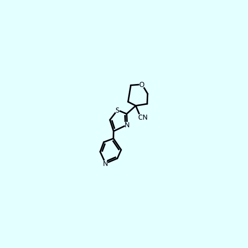 N#CC1(c2nc(-c3ccncc3)cs2)CCOCC1